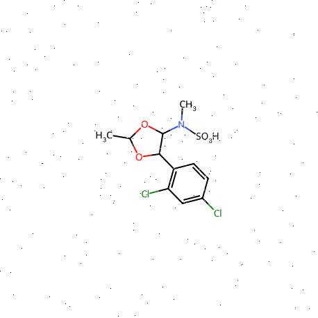 CC1OC(c2ccc(Cl)cc2Cl)C(N(C)S(=O)(=O)O)O1